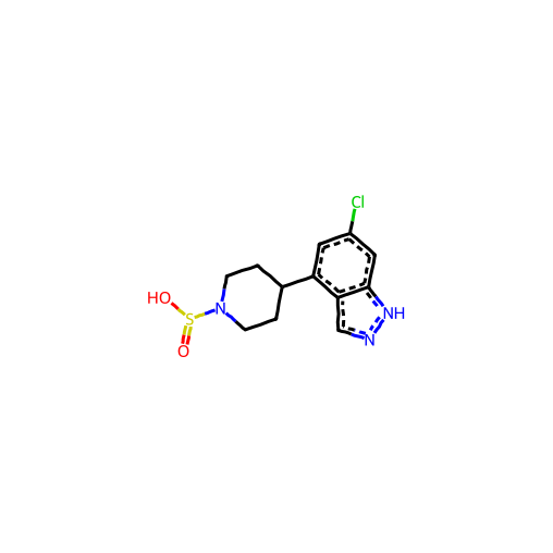 O=S(O)N1CCC(c2cc(Cl)cc3[nH]ncc23)CC1